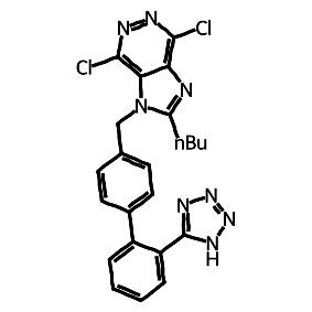 CCCCc1nc2c(Cl)nnc(Cl)c2n1Cc1ccc(-c2ccccc2-c2nnn[nH]2)cc1